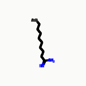 CC(=O)OCCCCCCCCC(=N)N